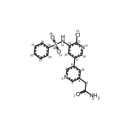 NC(=O)Cc1cncc(-c2cnc(Cl)c(NS(=O)(=O)c3ccccc3)c2)c1